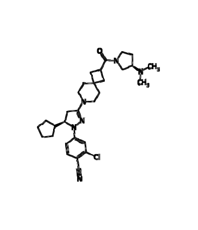 CN(C)[C@@H]1CCN(C(=O)C2CC3(CCN(C4=NN(c5ccc(C#N)c(Cl)c5)[C@@H](C5CCCC5)C4)CC3)C2)C1